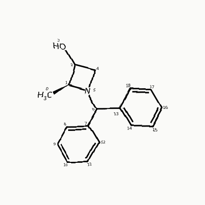 C[C@H]1C(O)CN1C(c1ccccc1)c1ccccc1